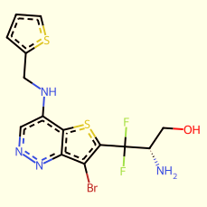 N[C@@H](CO)C(F)(F)c1sc2c(NCc3cccs3)cnnc2c1Br